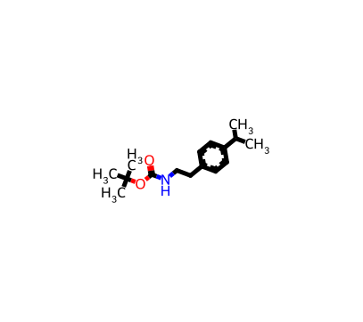 CC(C)c1ccc(CCNC(=O)OC(C)(C)C)cc1